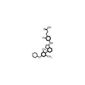 Cc1cc(OC2CCSCC2)cc(C)c1-c1cccc2c1CCC2Nc1ccc(CCC(=O)O)c(F)c1